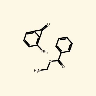 NCOC(=O)c1ccccc1.Nc1cccc2c(=O)c12